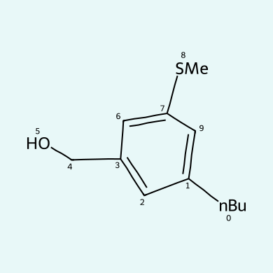 CCCCc1cc(CO)cc(SC)c1